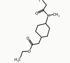 CCOC(=O)CC1CCC(N(C)C(=O)CC)CC1